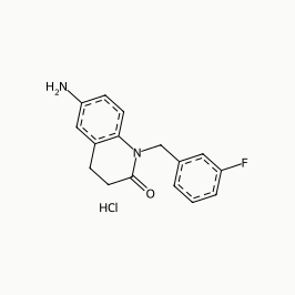 Cl.Nc1ccc2c(c1)CCC(=O)N2Cc1cccc(F)c1